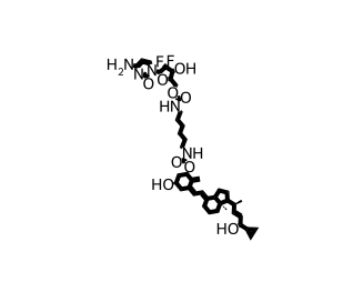 C=C1/C(=C\C=C2/CCC[C@@]3(C)C2CCC3[C@@H](C)/C=C/C(O)C2CC2)C[C@@H](O)C[C@@H]1OC(=O)NCCCCCCNC(=O)OCC1OC(n2ccc(N)nc2=O)C(F)(F)C1O